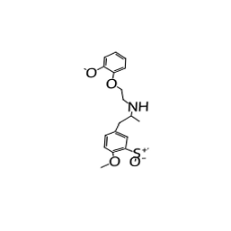 COc1ccccc1OCCNC(C)Cc1ccc(OC)c([S+](C)[O-])c1